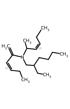 C=C(/C=C\CC)N(CC(CC)CCCC)C(C)/C=C\CC